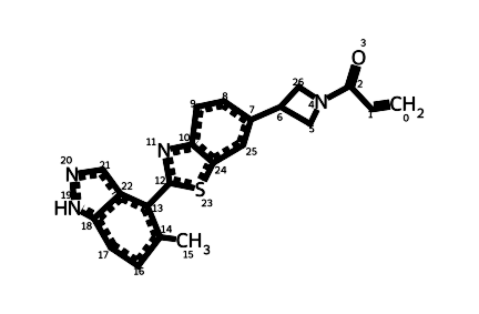 C=CC(=O)N1CC(c2ccc3nc(-c4c(C)ccc5[nH]ncc45)sc3c2)C1